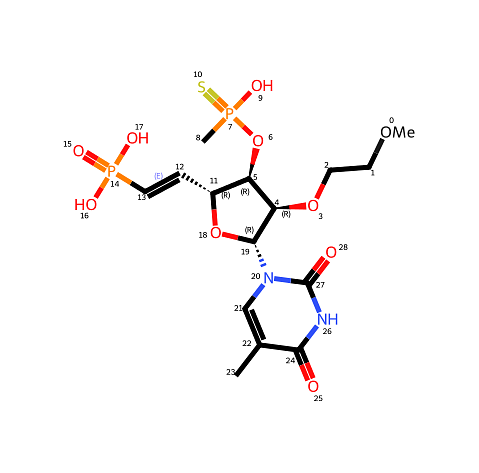 COCCO[C@@H]1[C@H](OP(C)(O)=S)[C@@H](/C=C/P(=O)(O)O)O[C@H]1n1cc(C)c(=O)[nH]c1=O